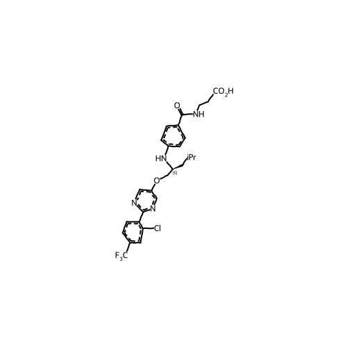 CC(C)C[C@@H](COc1cnc(-c2ccc(C(F)(F)F)cc2Cl)nc1)Nc1ccc(C(=O)NCCC(=O)O)cc1